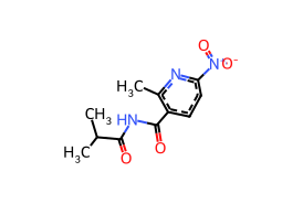 Cc1nc([N+](=O)[O-])ccc1C(=O)NC(=O)C(C)C